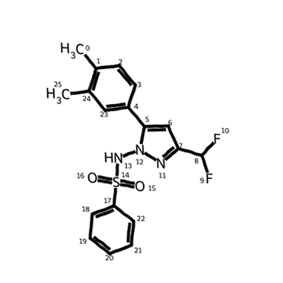 Cc1ccc(-c2cc(C(F)F)nn2NS(=O)(=O)c2ccccc2)cc1C